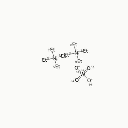 CC[N+](CC)(CC)CC.CC[N+](CC)(CC)CC.[O]=[W](=[O])([O-])[O-]